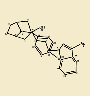 CC(=O)c1cn(CCCCN2C3CCC2CC(O)(c2ccc(F)cc2)C3)c2ccccc12